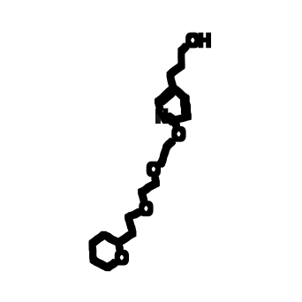 OCCCc1ccc(OCCOCCOCCC2CCCCO2)nc1